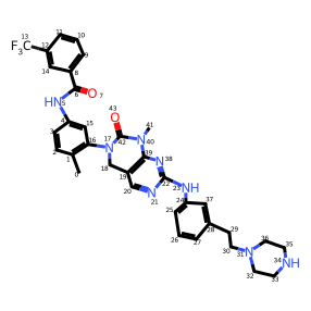 Cc1ccc(NC(=O)c2cccc(C(F)(F)F)c2)cc1N1Cc2cnc(Nc3cccc(CCN4CCNCC4)c3)nc2N(C)C1=O